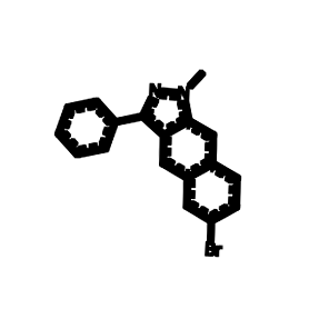 Cn1nc(-c2ccccc2)c2cc3cc(Br)ccc3cc21